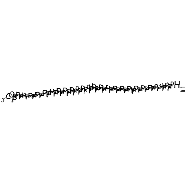 COP(#P)P=PP=PP=PP=PP=PP=PP=PP=PP=PP=PP=PP=PP=PP=PP=PP=PP=PP=PP=PP=PP=PP=PP=PP=PP